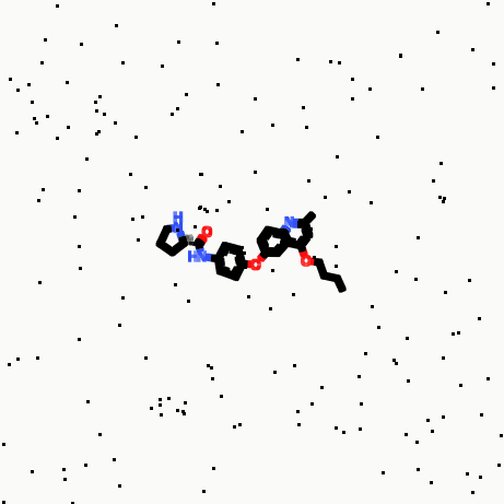 CCCCOc1cc(C)nc2ccc(Oc3ccc(NC(=O)[C@@H]4CCCN4)cc3)cc12